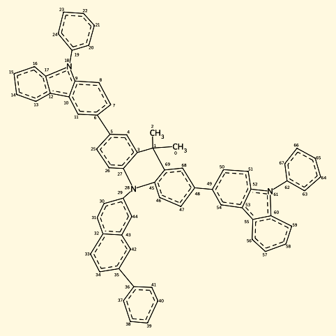 CC1(C)c2cc(-c3ccc4c(c3)c3ccccc3n4-c3ccccc3)ccc2N(c2ccc3ccc(-c4ccccc4)cc3c2)c2ccc(-c3ccc4c(c3)c3ccccc3n4-c3ccccc3)cc21